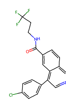 O=C(NCCC(F)(F)F)c1ccc2cncc(-c3ccc(Cl)cc3)c2c1